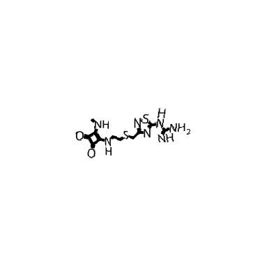 CNc1c(NCCSCc2nsc(NC(=N)N)n2)c(=O)c1=O